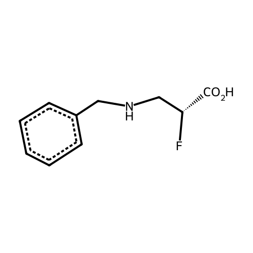 O=C(O)[C@H](F)CNCc1ccccc1